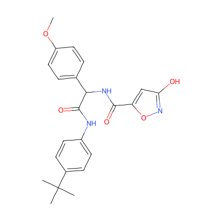 COc1ccc(C(NC(=O)c2cc(O)no2)C(=O)Nc2ccc(C(C)(C)C)cc2)cc1